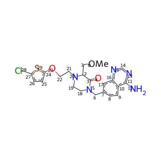 COCC1C(=O)N(Cc2ccc3c(N)ncnc3c2)CCN1CCOc1ccc(Cl)s1